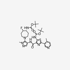 Cc1ccncc1-c1nc(C(=O)Nc2cnn(C)c2N2CC[C@@H](F)[C@H](NC(=O)OC(C)(C)C)CC2)c(NC(=O)OC(C)(C)C)s1